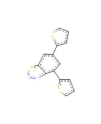 c1csc(-c2cc(-c3cccs3)c3nnsc3c2)c1